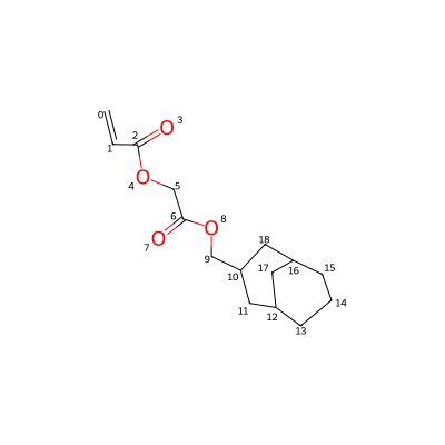 C=CC(=O)OCC(=O)OCC1CC2CCCC(C2)C1